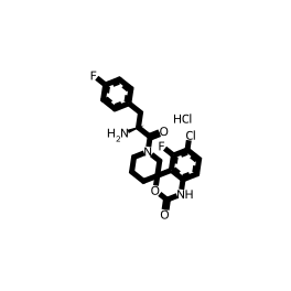 Cl.N[C@@H](Cc1ccc(F)cc1)C(=O)N1CCCC2(C1)OC(=O)Nc1ccc(Cl)c(F)c12